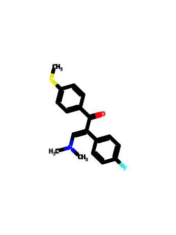 CSc1ccc(C(=O)C(=CN(C)C)c2ccc(F)cc2)cc1